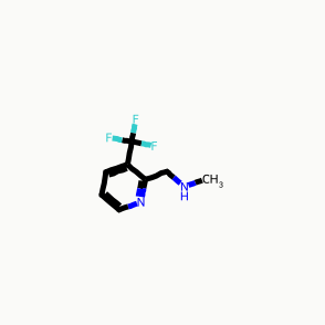 CNCc1ncccc1C(F)(F)F